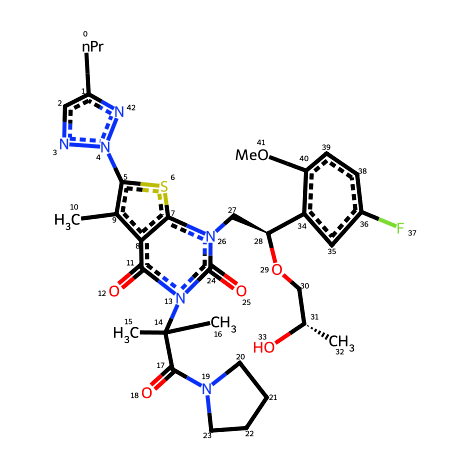 CCCc1cnn(-c2sc3c(c2C)c(=O)n(C(C)(C)C(=O)N2CCCC2)c(=O)n3C[C@H](OC[C@H](C)O)c2cc(F)ccc2OC)n1